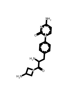 Nc1ccn(-c2ccc(CC(N)C(=O)N3CC(N)C3)cc2)c(=O)n1